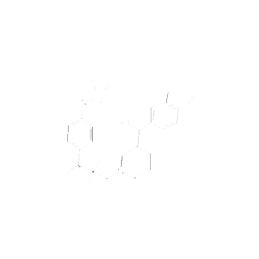 CC(C)(CN1CCCC(C(O)c2ccc(F)c(F)c2)C1)C(=O)c1ccc(NS(C)(=O)=O)cc1